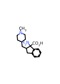 CN1CCC(CC2Cc3ccccc3C2(N)C(=O)O)CC1